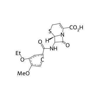 CCOc1cc(C(=O)NC2C(=O)N3C(C(=O)O)=CCS[C@@H]23)ccc1OC